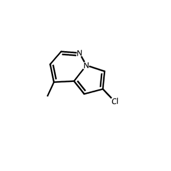 Cc1ccnn2cc(Cl)cc12